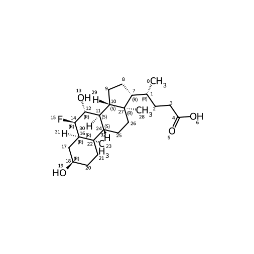 C[C@H](CCC(=O)O)[C@H]1CC[C@H]2[C@@H]3[C@@H](O)[C@H](F)[C@@H]4C[C@H](O)CC[C@]4(C)[C@H]3CC[C@]12C